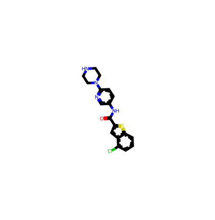 O=C(Nc1ccc(N2CCNCC2)nc1)c1cc2c(Cl)cccc2s1